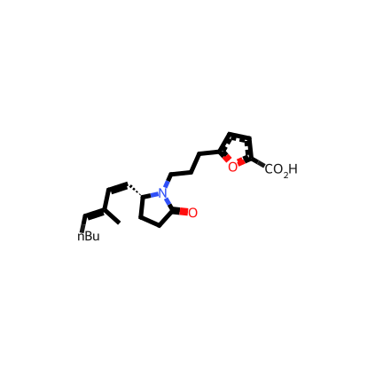 CCCC/C=C(C)/C=C\[C@H]1CCC(=O)N1CCCc1ccc(C(=O)O)o1